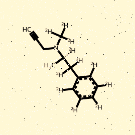 [2H]c1c([2H])c([2H])c(C([2H])([2H])[C@@]([2H])(C)N(CC#C)C([2H])([2H])[2H])c([2H])c1[2H]